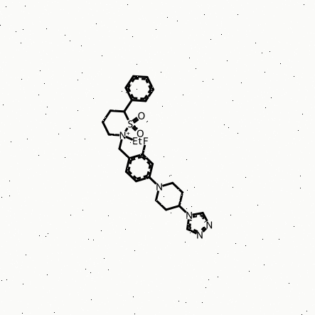 CC[N+]1(Cc2ccc(N3CCC(n4cnnc4)CC3)cc2F)CCCC(c2ccccc2)S1(=O)=O